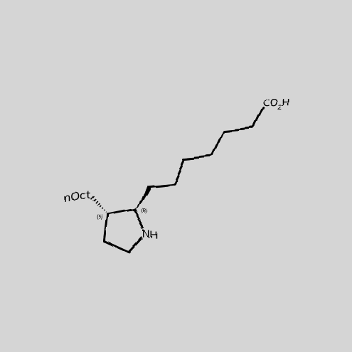 CCCCCCCC[C@H]1CCN[C@@H]1CCCCCCC(=O)O